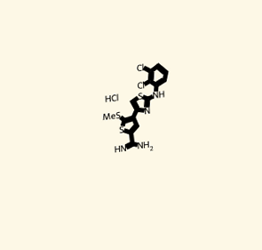 CSc1sc(C(=N)N)cc1-c1csc(Nc2cccc(Cl)c2Cl)n1.Cl